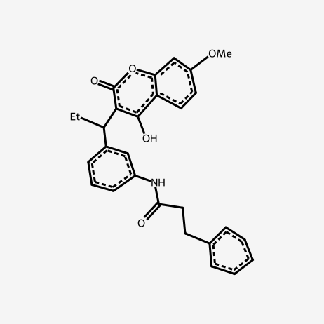 CCC(c1cccc(NC(=O)CCc2ccccc2)c1)c1c(O)c2ccc(OC)cc2oc1=O